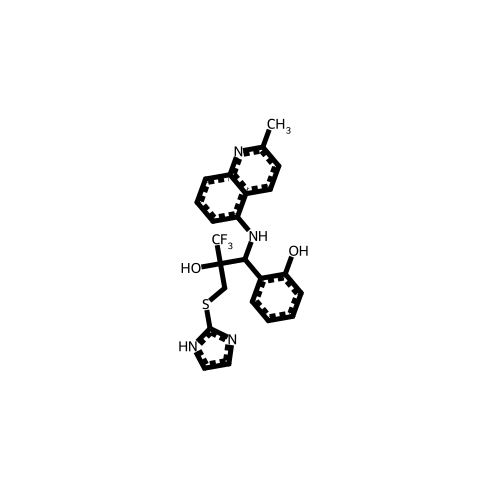 Cc1ccc2c(NC(c3ccccc3O)C(O)(CSc3ncc[nH]3)C(F)(F)F)cccc2n1